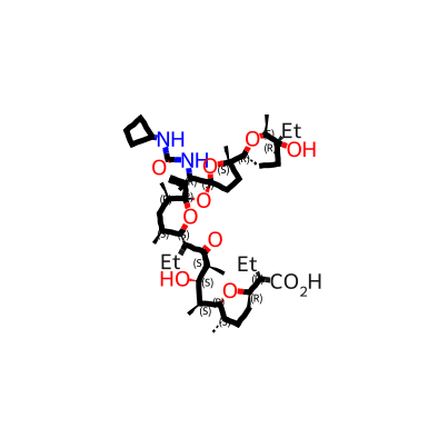 C=C[C@@]1(O[C@]2([C@@H](C)NC(=O)NC3CCC3)CC[C@@](C)([C@H]3CC[C@](O)(CC)[C@H](C)O3)O2)O[C@H](C(CC)C(=O)[C@@H](C)[C@@H](O)[C@H](C)[C@@H]2O[C@@H]([C@@H](CC)C(=O)O)CC[C@@H]2C)[C@@H](C)C[C@H]1C